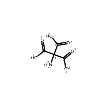 NC(C(=O)O)(C(=O)O)C(=O)O